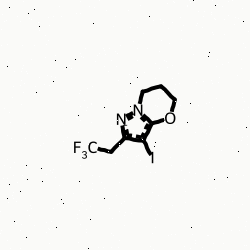 FC(F)(F)Cc1nn2c(c1I)OCCC2